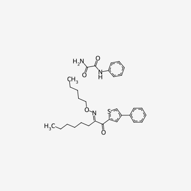 CCCCCCC(=NOCCCCC)C(=O)c1cc(-c2ccccc2)cs1.NC(=O)C(=O)Nc1ccccc1